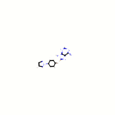 CCCCCn1c(Sc2ccc(-n3cccc3)cc2)nc2c(N)ncnc21